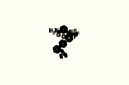 CCN(CC)Cc1ccccc1-c1ccc(N2CCc3c(C(F)(F)F)nn(-c4cccc(C(N)=O)c4)c3C2=O)cc1